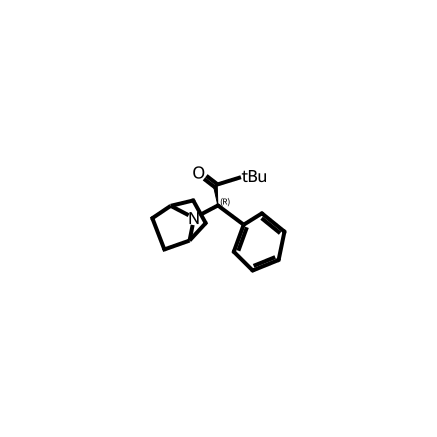 CC(C)(C)C(=O)[C@@H](c1ccccc1)N1C2CCC1CC2